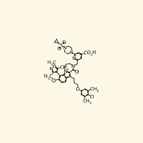 Cc1cc(OCCCc2c3n(c4c(-c5c(C)nn(C)c5C)c(Cl)ccc24)CCCN(Cc2cc(C(=O)O)cc(N4CCN(S(=O)(=O)C5CC5)CC4)n2)C3=O)cc(C)c1Cl